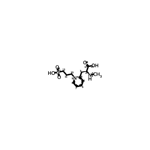 CN[C@@H](Cc1cccc[n+]1CCCS(=O)(=O)O)C(=O)O